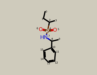 CCC(C)S(=O)(=O)NC(C)c1ccccc1